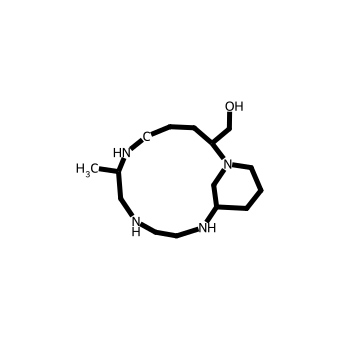 CC1CNCCNC2CCCN(C2)C(CO)CCCN1